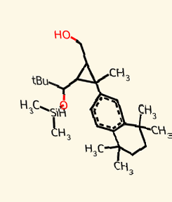 C[SiH](C)OC(C1C(CO)C1(C)c1ccc2c(c1)C(C)(C)CCC2(C)C)C(C)(C)C